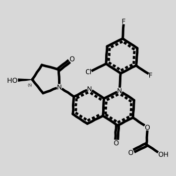 O=C(O)Oc1cn(-c2c(F)cc(F)cc2Cl)c2nc(N3C[C@@H](O)CC3=O)ccc2c1=O